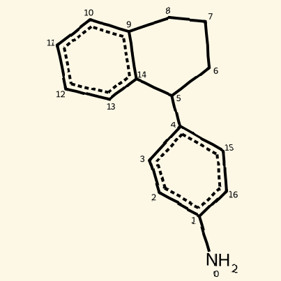 Nc1ccc(C2CCCc3ccccc32)cc1